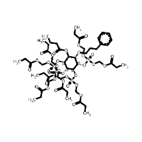 CCCC(=O)OC1[C@@H](OCCCc2ccccc2)[C@H](OP(=O)(OCOC(=O)CC)OCOC(=O)CC)[C@@H](OP(=O)(OCOC(=O)CC)OCOC(=O)CC)[C@H](OP(=O)(OCOC(=O)CC)OCOC(=O)CC)[C@H]1OP(=O)(OCOC(=O)CC)OCOC(=O)CC